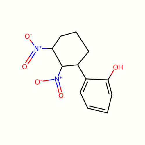 O=[N+]([O-])C1CCCC(c2ccccc2O)C1[N+](=O)[O-]